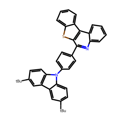 CC(C)(C)c1ccc2c(c1)c1cc(C(C)(C)C)ccc1n2-c1ccc(-c2nc3ccccc3c3c2sc2ccccc23)cc1